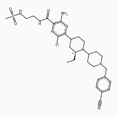 CC[C@H]1CN(c2nc(N)c(C(=O)NCCNS(C)(=O)=O)nc2Cl)CCN1C1CCN(Cc2ccc(C#N)cc2)CC1